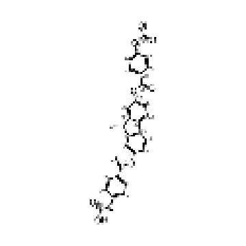 CC1c2cc(OC(=O)c3ccc(OC(=O)O)cc3)ccc2-c2ccc(OC(=O)c3ccc(OC(=O)O)cc3)cc21